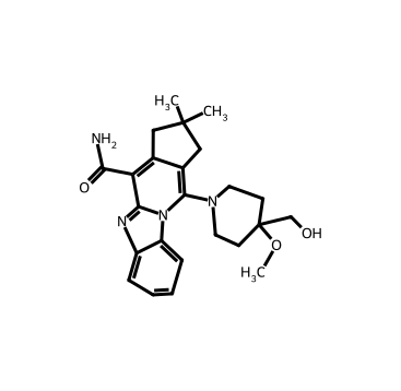 COC1(CO)CCN(c2c3c(c(C(N)=O)c4nc5ccccc5n24)CC(C)(C)C3)CC1